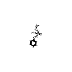 CCCOOP(=O)(O)OOc1ccccc1